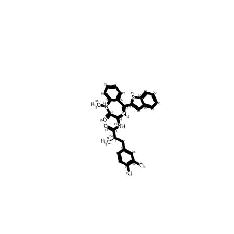 C[C@@H](Cc1ccc(Cl)c(Cl)c1)C(=O)NC1N=C(c2cc3ccccc3s2)c2ccccc2N(C)C1=O